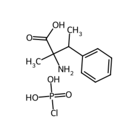 CC(c1ccccc1)C(C)(N)C(=O)O.O=P(O)(O)Cl